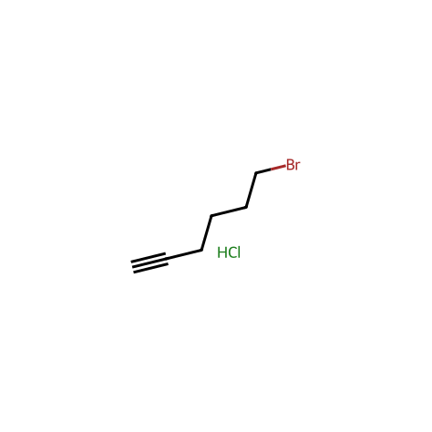 C#CCCCCBr.Cl